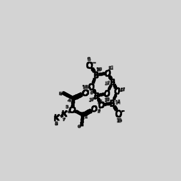 CC(=O)OC(C)=O.[K+].[K+].[O-]B1OB2OB([O-])OB(O1)O2